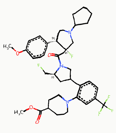 COC(=O)C1CCN(c2cc(C(F)(F)F)ccc2C2C[C@@H](CF)N(C(=O)[C@]3(F)CN(C4CCCC4)C[C@H]3c3ccc(OC)cc3)C2)CC1